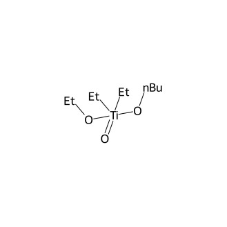 CCCC[O][Ti](=[O])([CH2]C)([CH2]C)[O]CC